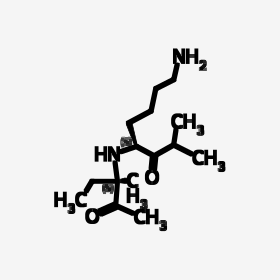 CC[C@](C)(N[C@@H](CCCCN)C(=O)C(C)C)C(C)=O